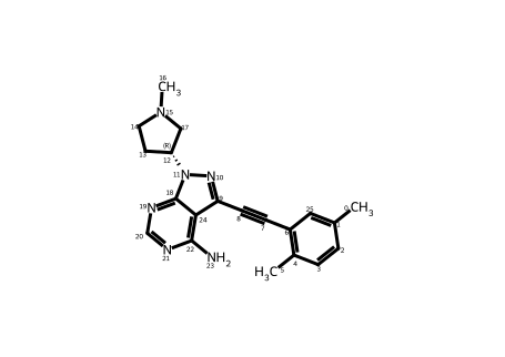 Cc1ccc(C)c(C#Cc2nn([C@@H]3CCN(C)C3)c3ncnc(N)c23)c1